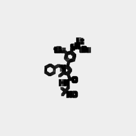 CCN(Sc1ccc(-c2cc(C(=O)NCC(C)(C)N=O)c(C)n2CC2CCCCC2)cc1C(C)(C)C)C(C)(C)C